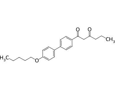 CCCCCOc1ccc(-c2ccc(C(=O)CC(=O)CCC)cc2)cc1